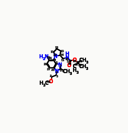 COCCn1c(C)nc2c(N3CCC[C@H]3CNC(=O)OC(C)(C)C)c(N)ccc21